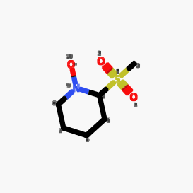 CS(=O)(=O)C1CCCCN1[O]